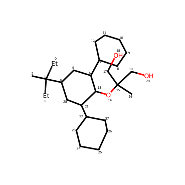 CCC(C)(CC)C1CC(C2CCCCC2)C(OC(C)(CO)CO)C(C2CCCCC2)C1